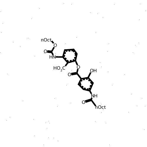 CCCCCCCCOC(=O)Nc1cccc(OC(=O)c2ccc(NC(=O)CCCCCCCC)cc2O)c1C(=O)O